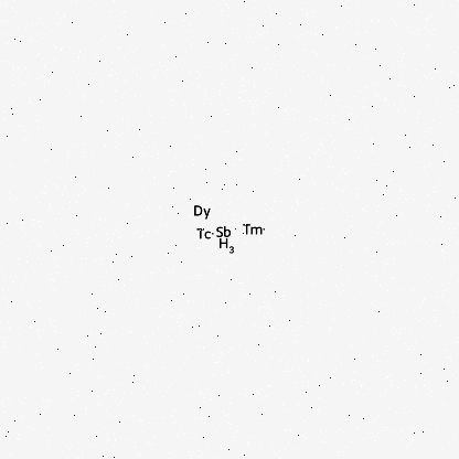 [Dy].[SbH3].[Tc].[Tm]